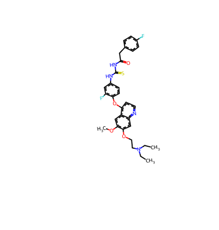 CCN(CC)CCOc1cc2nccc(Oc3ccc(NC(=S)NC(=O)Cc4ccc(F)cc4)cc3F)c2cc1OC